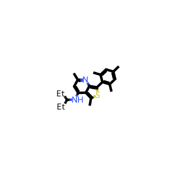 CCC(CC)Nc1cc(C)nc2c(-c3c(C)cc(C)cc3C)sc(C)c12